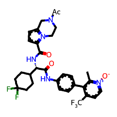 CC(=O)N1CCn2c(ccc2C(=O)N[C@H](C(=O)Nc2ccc(-c3c(C(F)(F)F)cc[n+]([O-])c3C)cc2)C2CCC(F)(F)CC2)C1